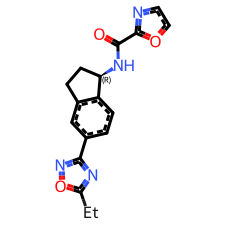 CCc1nc(-c2ccc3c(c2)CC[C@H]3NC(=O)c2ncco2)no1